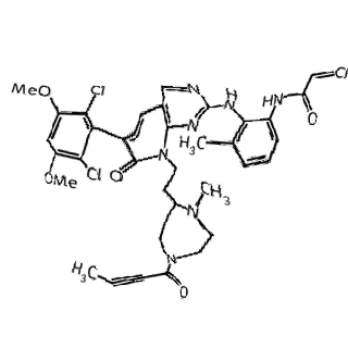 C=CC(=O)Nc1cccc(C)c1Nc1ncc2cc(-c3c(Cl)c(OC)cc(OC)c3Cl)c(=O)n(CCC3CN(C(=O)C#CC)CCN3C)c2n1